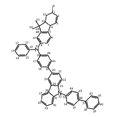 CC1C=CC2c3ccc(N(c4ccccc4)c4ccc(-c5ccc6c(c5)c5ccccc5n6-c5ccc(-c6ccccc6)cc5)cc4)cc3C(C)(C)C2C1